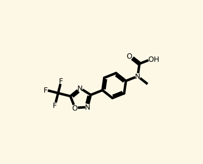 CN(C(=O)O)c1ccc(-c2noc(C(F)(F)F)n2)cc1